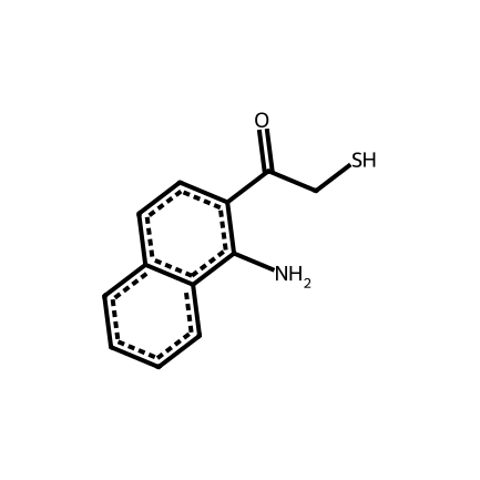 Nc1c(C(=O)CS)ccc2ccccc12